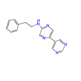 c1ccc(CCNc2cnc(-c3cncnc3)cn2)cc1